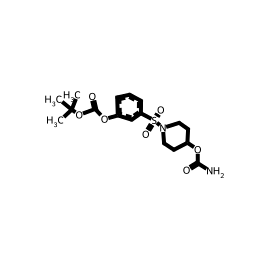 CC(C)(C)OC(=O)Oc1cccc(S(=O)(=O)N2CCC(OC(N)=O)CC2)c1